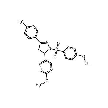 COc1ccc(C2CC(c3ccc(C)cc3)=NN2S(=O)(=O)c2ccc(OC)cc2)cc1